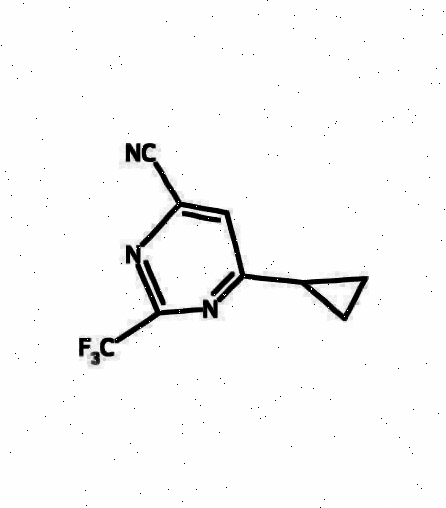 N#Cc1cc(C2CC2)nc(C(F)(F)F)n1